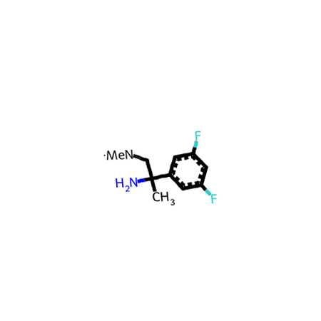 C[N]CC(C)(N)c1cc(F)cc(F)c1